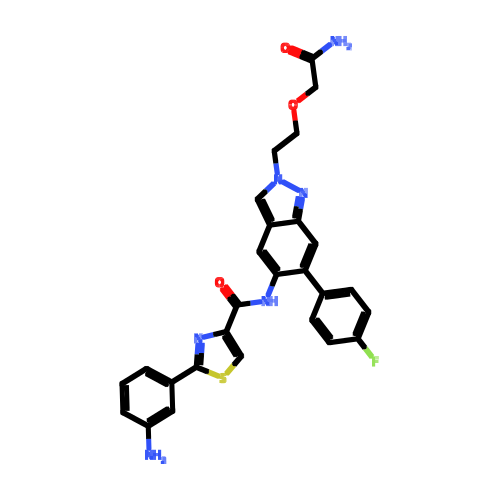 NC(=O)COCCn1cc2cc(NC(=O)c3csc(-c4cccc(N)c4)n3)c(-c3ccc(F)cc3)cc2n1